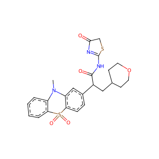 CN1c2ccccc2S(=O)(=O)c2ccc(C(CC3CCOCC3)C(=O)NC3=NC(=O)CS3)cc21